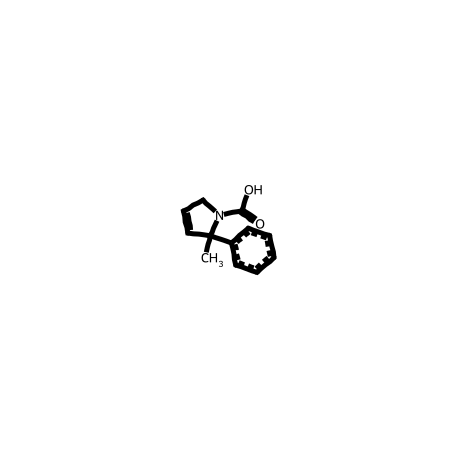 CC1(c2ccccc2)C=CCN1C(=O)O